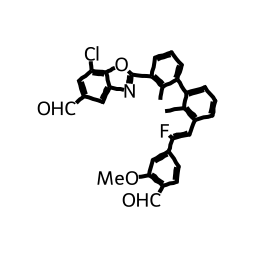 COc1cc(C(F)=Cc2cccc(-c3cccc(-c4nc5cc(C=O)cc(Cl)c5o4)c3C)c2C)ccc1C=O